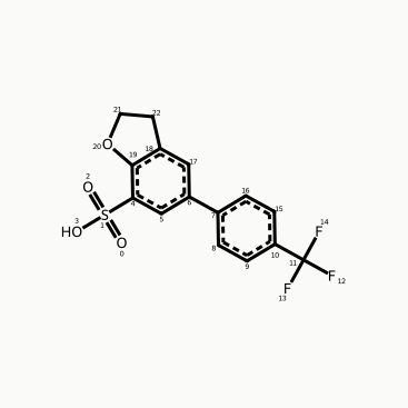 O=S(=O)(O)c1cc(-c2ccc(C(F)(F)F)cc2)cc2c1OCC2